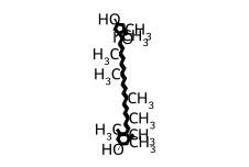 CC1=C(/C=C/C(C)=C/C=C/C(C)=C/C=C/C=C(C)/C=C/C=C(C)/C=C/C(=O)[C@]2(I)C[C@@H](O)CC2(C)C)C(C)(C)C[C@H](O)C1